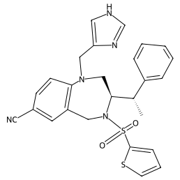 C[C@@H](c1ccccc1)[C@@H]1CN(Cc2c[nH]cn2)c2ccc(C#N)cc2CN1S(=O)(=O)c1cccs1